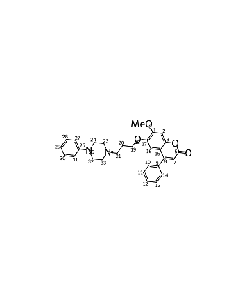 COc1cc2oc(=O)cc(-c3ccccc3)c2cc1OCCCN1CCN(c2ccccc2)CC1